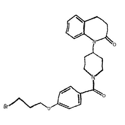 O=C(c1ccc(OCCCBr)cc1)N1CCC(N2C(=O)CCc3ccccc32)CC1